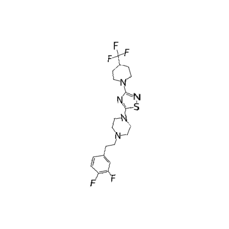 Fc1ccc(CCN2CCN(c3nc(N4CCC(C(F)(F)F)CC4)ns3)CC2)cc1F